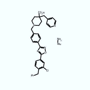 CC(C)(C)N.CC(C)Cc1ccc(-c2nc(-c3ccc(CN4CCC(Cc5ccncc5)(C(=O)O)CC4)cc3)no2)cc1Cl